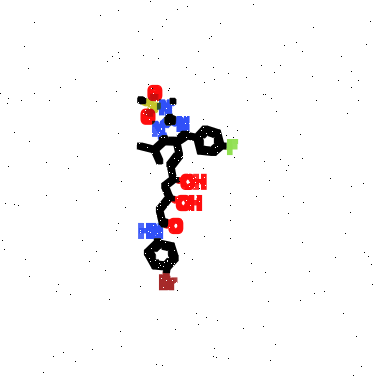 CC(C)c1nc(N(C)S(C)(=O)=O)nc(-c2ccc(F)cc2)c1C=C[C@@H](O)C[C@@H](O)CC(=O)Nc1ccc(Br)cc1